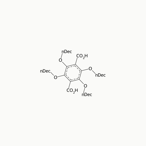 CCCCCCCCCCOc1c(OCCCCCCCCCC)c(C(=O)O)c(OCCCCCCCCCC)c(OCCCCCCCCCC)c1C(=O)O